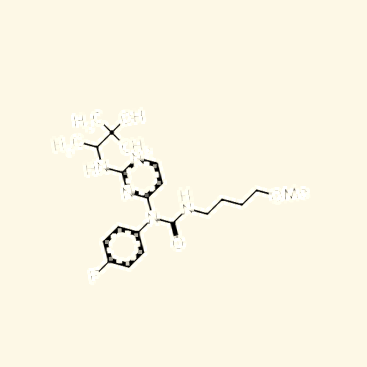 COCCCCNC(=O)N(c1ccc(F)cc1)c1ccnc(NC(C)C(C)(C)O)n1